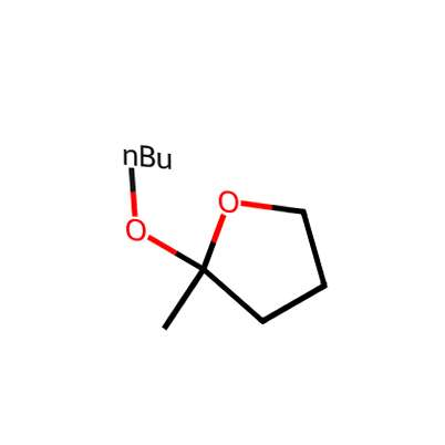 CCCCOC1(C)CCCO1